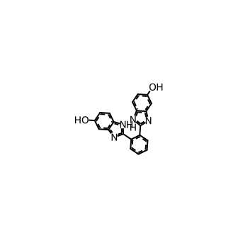 Oc1ccc2[nH]c(-c3ccccc3-c3nc4cc(O)ccc4[nH]3)nc2c1